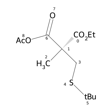 CCOC(=O)[C@@](C)(CSC(C)(C)C)C(=O)OC(C)=O